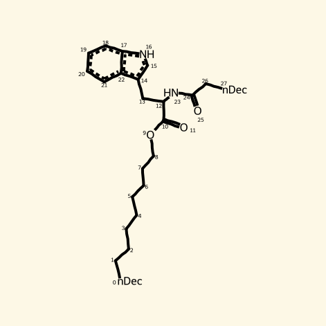 CCCCCCCCCCCCCCCCCCOC(=O)C(Cc1c[nH]c2ccccc12)NC(=O)CCCCCCCCCCC